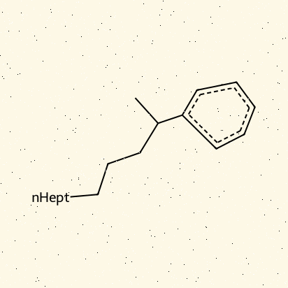 [CH2]CCCCCCCCCC(C)c1ccccc1